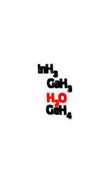 O.[GaH3].[GeH4].[InH3]